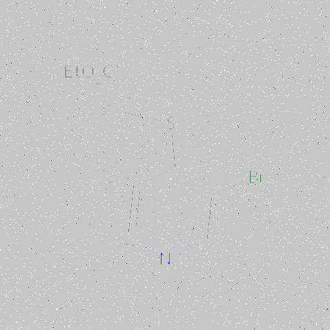 CCOC(=O)c1cc2cncc(Br)c2s1